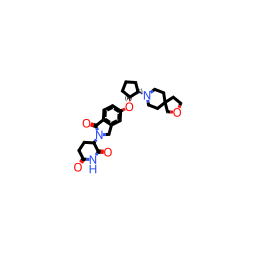 O=C1CCC(N2Cc3cc(O[C@@H]4CCC[C@@H]4N4CCC5(CCOC5)CC4)ccc3C2=O)C(=O)N1